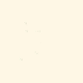 CC(O)c1nccn1CC#C[C@@]1(C2CC(NCCC#N)C2)C=CC(c2ccccc2)=CC1